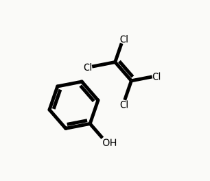 ClC(Cl)=C(Cl)Cl.Oc1ccccc1